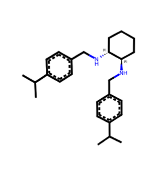 CC(C)c1ccc(CN[C@@H]2CCCC[C@H]2NCc2ccc(C(C)C)cc2)cc1